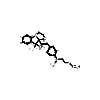 CN(CCSS(=O)(=O)O)c1ccc(/C=C/C23OCCN2c2ccccc2C3(C)C)cc1